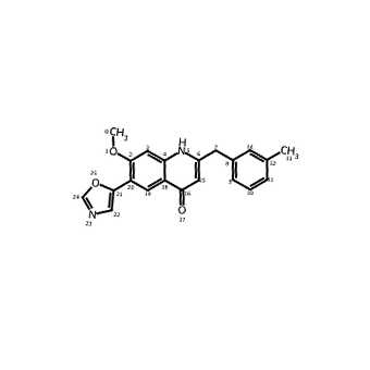 COc1cc2[nH]c(Cc3cccc(C)c3)cc(=O)c2cc1-c1cnco1